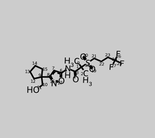 CC(C)(C(=O)Nc1cc(C2(CO)CCCC2)no1)S(=O)(=O)CCCC(F)(F)F